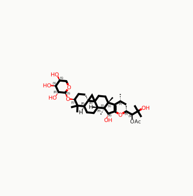 CC(=O)O[C@@H]([C@H]1C[C@@H](C)C2=C(O1)[C@H](O)[C@@]1(C)[C@@H]3CC[C@H]4C(C)(C)[C@@H](O[C@@H]5OC[C@H](O)[C@H](O)[C@H]5O)CC[C@@]45CC35CC[C@]21C)C(C)(C)O